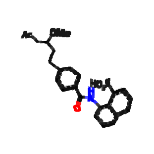 COC(CCc1ccc(C(=O)Nc2cccc3cccc(S(=O)(=O)O)c23)cc1)CC(C)=O